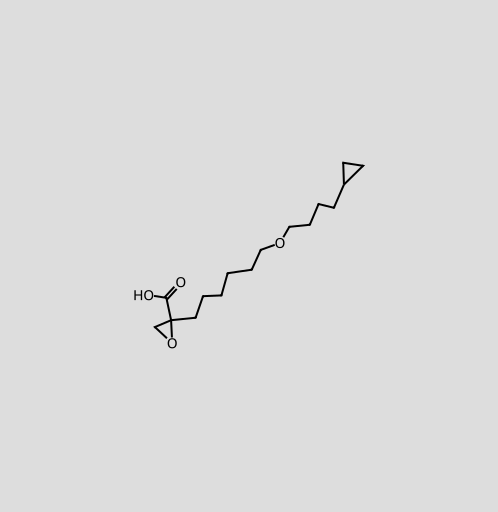 O=C(O)C1(CCCCCCOCCCCC2CC2)CO1